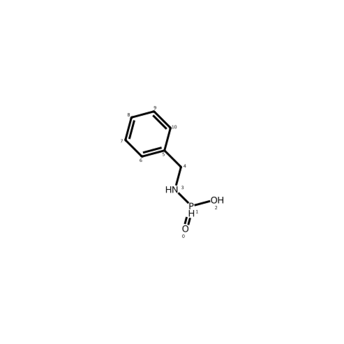 O=[PH](O)NCc1ccccc1